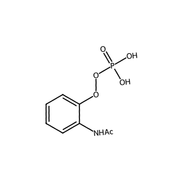 CC(=O)Nc1ccccc1OOP(=O)(O)O